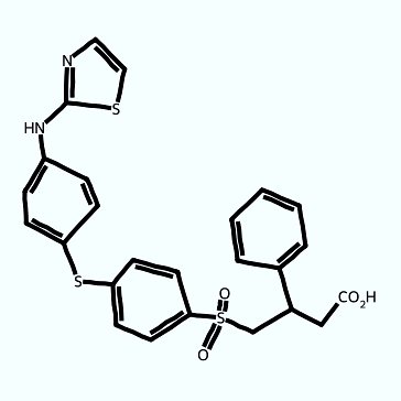 O=C(O)CC(CS(=O)(=O)c1ccc(Sc2ccc(Nc3nccs3)cc2)cc1)c1ccccc1